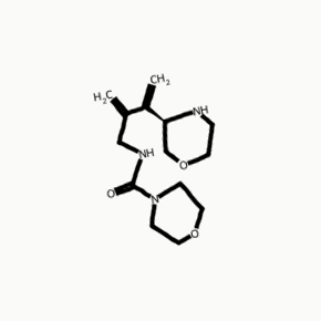 C=C(CNC(=O)N1CCOCC1)C(=C)[C@@H]1COCCN1